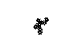 c1ccc(-n2ccc3cc4c(cc32)c2ccccc2n4-c2nc(-c3ccc4ccccc4c3)c3ccccc3n2)cc1